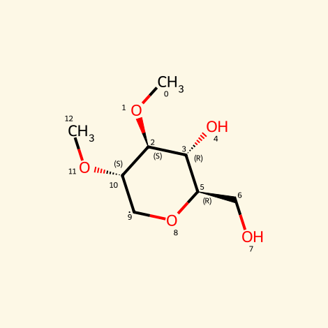 CO[C@H]1[C@H](O)[C@@H](CO)O[CH][C@@H]1OC